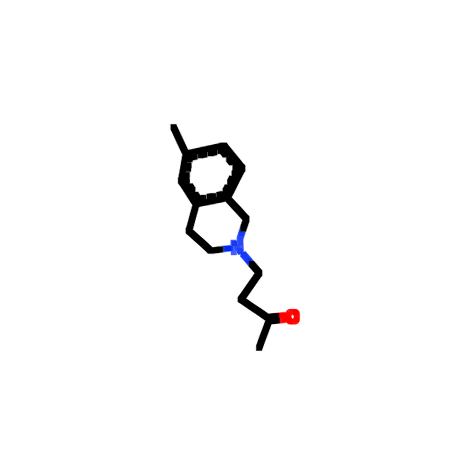 CC(=O)CCN1CCc2cc(C)ccc2C1